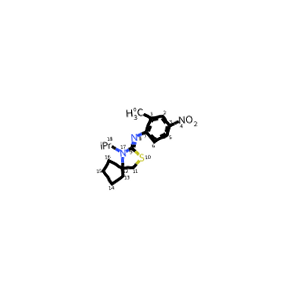 Cc1cc([N+](=O)[O-])ccc1N=C1SCC2(CCCC2)N1C(C)C